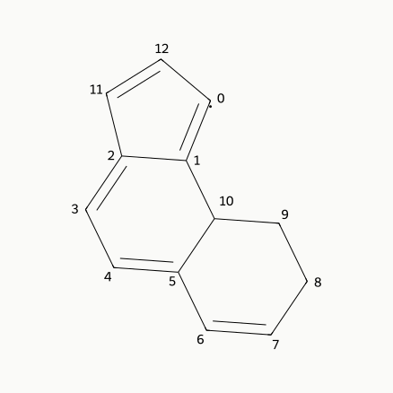 [C]1=C2C(=CC=C3C=CCCC23)C=C1